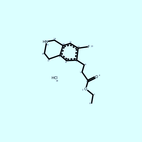 CCOC(=O)CCc1cc2c(cc1F)CNCC2.Cl